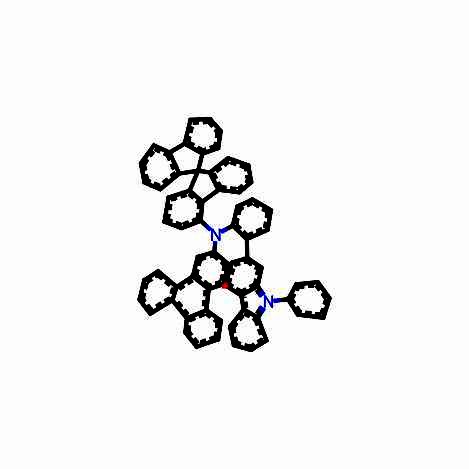 c1ccc(-n2c3ccccc3c3ccc(-c4ccccc4N(c4ccc5c6ccccc6c6ccccc6c5c4)c4cccc5c4-c4ccccc4C54c5ccccc5-c5ccccc54)cc32)cc1